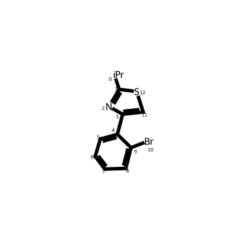 CC(C)c1nc(-c2ccccc2Br)cs1